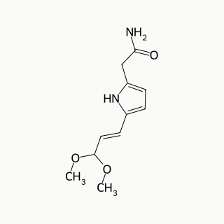 COC(C=Cc1ccc(CC(N)=O)[nH]1)OC